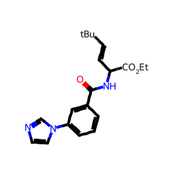 CCOC(=O)C(C=CC(C)(C)C)NC(=O)c1cccc(-n2ccnc2)c1